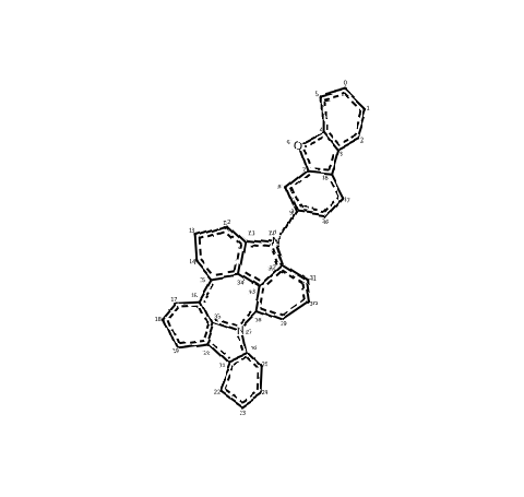 c1ccc2c(c1)oc1cc(-n3c4cccc5c6cccc7c8ccccc8n(c8cccc3c8c54)c67)ccc12